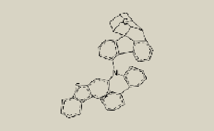 c1ccc(-c2ccccc2N(c2ccc3c(c2)sc2ccccc23)c2cccc3c2-c2cccc4c2C32C3CC5CC(C3)C4C2C5)cc1